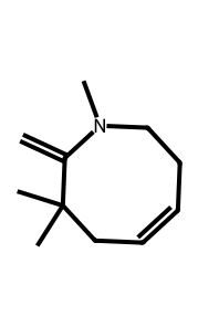 C=C1N(C)CC/C=C\CC1(C)C